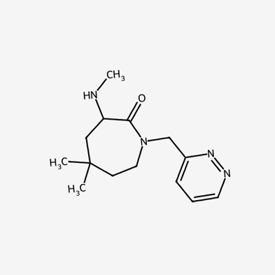 CNC1CC(C)(C)CCN(Cc2cccnn2)C1=O